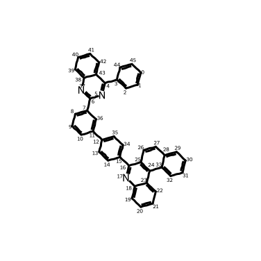 c1ccc(-c2nc(-c3cccc(-c4ccc(-c5nc6ccccc6c6c5ccc5ccccc56)cc4)c3)nc3ccccc23)cc1